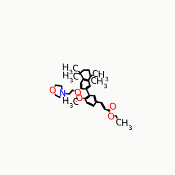 CCOC(=O)/C=C/c1ccc(OC)c(-c2cc3c(cc2OCCN2CCOCC2)C(C)(C)CCC3(C)C)c1